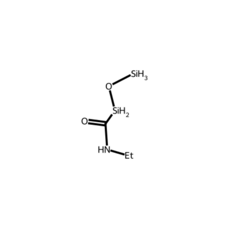 CCNC(=O)[SiH2]O[SiH3]